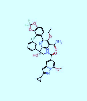 CCOc1c(C(N)=O)cc([C@@](O)(CNC(=O)c2cc(OC)n3nc(C4CC4)cc3c2)c2ccccc2)nc1-c1ccc2c(c1Cl)OC(F)(F)O2